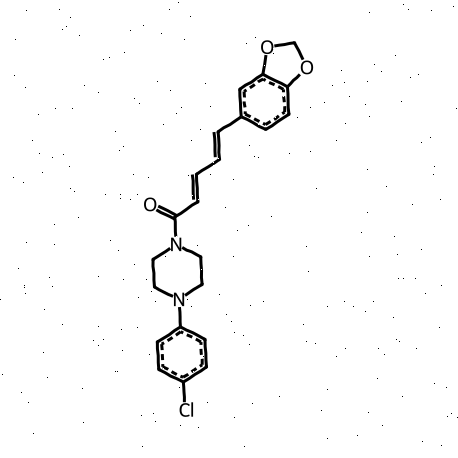 O=C(/C=C/C=C/c1ccc2c(c1)OCO2)N1CCN(c2ccc(Cl)cc2)CC1